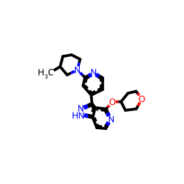 CC1CCCN(c2cc(-c3n[nH]c4ccnc(OC5CCOCC5)c34)ccn2)C1